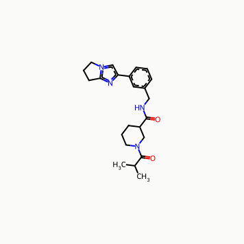 CC(C)C(=O)N1CCCC(C(=O)NCc2cccc(-c3cn4c(n3)CCC4)c2)C1